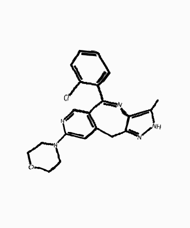 Cc1[nH]nc2c1N=C(c1ccccc1Cl)c1cnc(N3CCOCC3)cc1C2